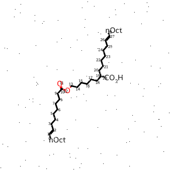 CCCCCCCCC=CCCCCCCCC(=O)OCCCCCCC(CCCCCCC=CCCCCCCCC)C(=O)O